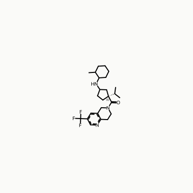 CC1CCCCC1NC1CC[C@@](C(=O)N2CCc3ncc(C(F)(F)F)cc3C2)(C(C)C)C1